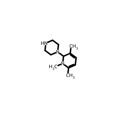 CC1=CC=C(C)N(C)C1N1CCNCC1